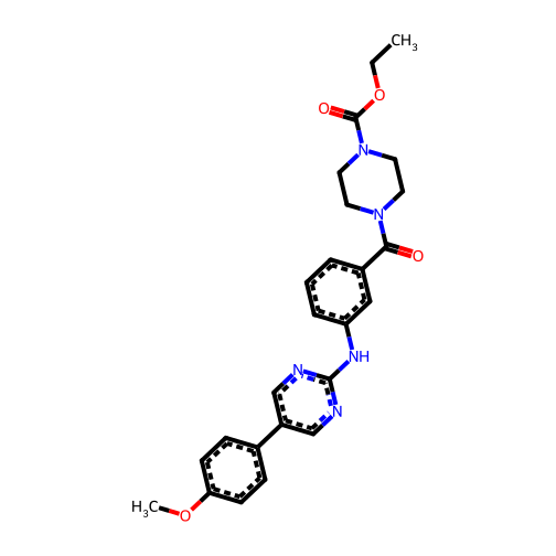 CCOC(=O)N1CCN(C(=O)c2cccc(Nc3ncc(-c4ccc(OC)cc4)cn3)c2)CC1